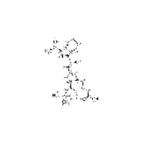 CC(C)n1nc(C(=O)N[C@H]2C[C@@H](COCC(=O)O)N(C(=O)OC(C)(C)C)C2)c2ccccc21